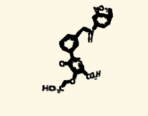 Cc1ccc(NCc2cccc(-c3sc(C(=O)O)c(OCC(=O)O)c3Cl)c2)cc1[N+](=O)[O-]